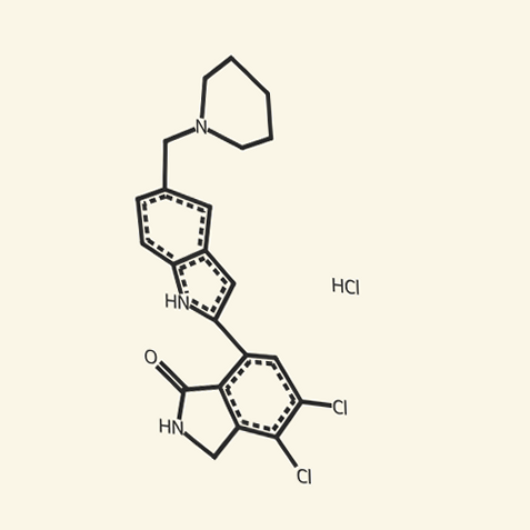 Cl.O=C1NCc2c(Cl)c(Cl)cc(-c3cc4cc(CN5CCCCC5)ccc4[nH]3)c21